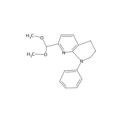 COC(OC)c1ccc2c(n1)N(c1ccccc1)CCC2